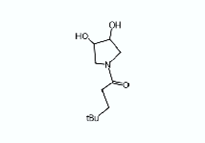 CC(C)(C)CCC(=O)N1CC(O)C(O)C1